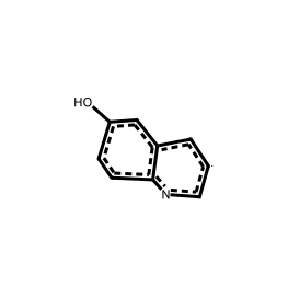 Oc1ccc2nc[c]cc2c1